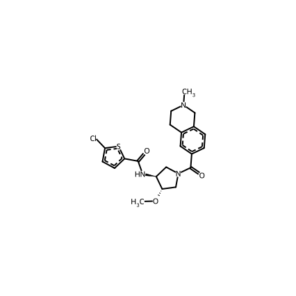 CO[C@H]1CN(C(=O)c2ccc3c(c2)CCN(C)C3)C[C@@H]1NC(=O)c1ccc(Cl)s1